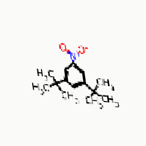 CC(C)(C)c1[c]c(C(C)(C)C)cc([N+](=O)[O-])c1